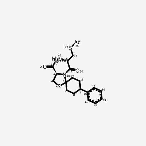 COC(=O)[C@@H]1CSC2(CCC(c3ccccc3)CC2)N1C(=O)[C@@H](C)CSC(C)=O